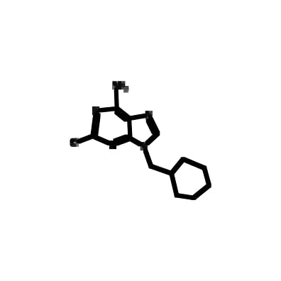 Nc1nc(Cl)nc2c1ncn2CC1CCCCC1